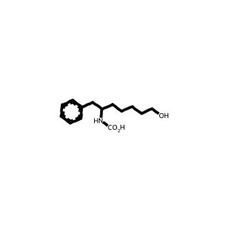 O=C(O)NC(CCCCCO)Cc1ccccc1